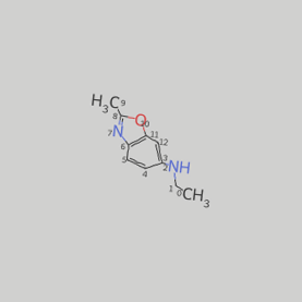 CCNc1ccc2nc(C)oc2c1